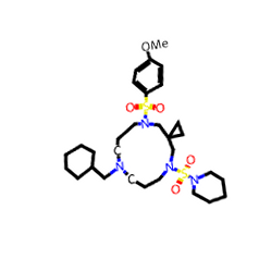 COc1ccc(S(=O)(=O)N2CCCN(CC3CCCCC3)CCCN(S(=O)(=O)N3CCCCC3)CC3(CC3)C2)cc1